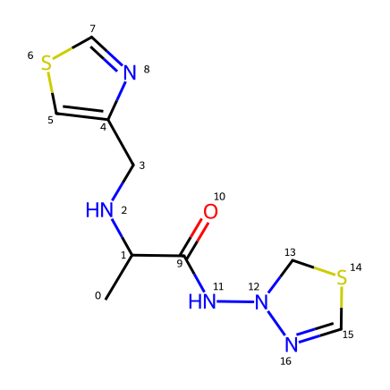 CC(NCc1cscn1)C(=O)NN1CSC=N1